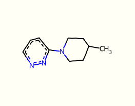 CC1CCN(c2cccnn2)CC1